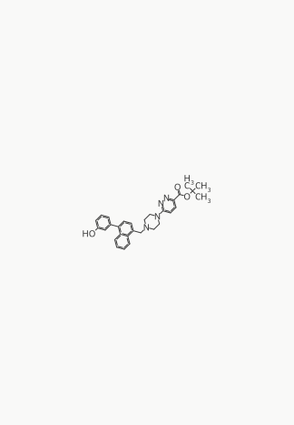 CC(C)(C)OC(=O)c1ccc(N2CCN(Cc3ccc(-c4cccc(O)c4)c4ccccc34)CC2)nn1